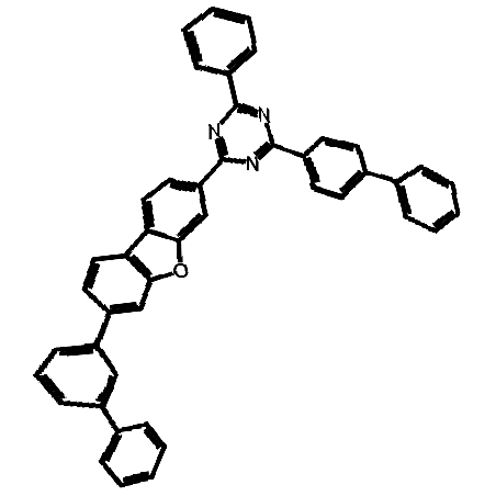 c1ccc(-c2ccc(-c3nc(-c4ccccc4)nc(-c4ccc5c(c4)oc4cc(-c6cccc(-c7ccccc7)c6)ccc45)n3)cc2)cc1